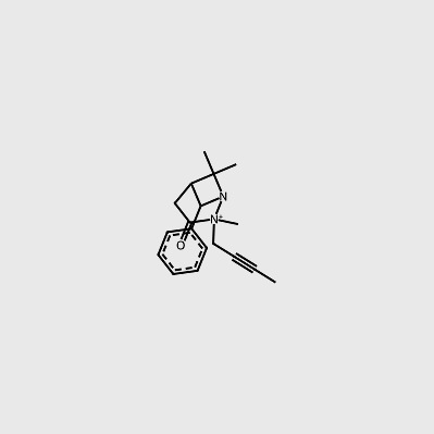 CC#CC[N+]1(C)C(=O)CC2C(c3ccccc3)N1C2(C)C